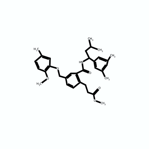 COC(=O)CCc1ccc(COc2cc(C)ccc2OC)cc1C(=O)NC(CC(C)C)c1cc(C)cc(C)c1